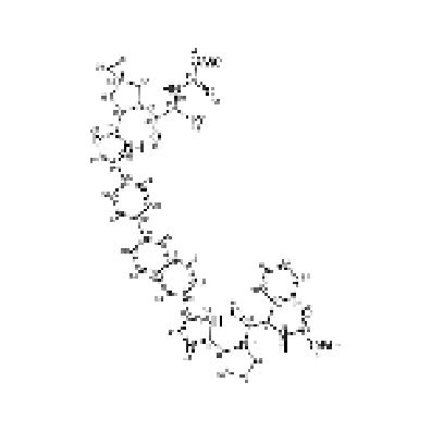 COC(=O)NC(C(=O)N1CCCC1c1ncc(-c2ccc3cc(-c4ccc(-c5cnc(C6CC7(CC7)CN6C(=O)C(NC(=O)OC)C(C)C)[nH]5)cc4)ccc3c2)[nH]1)c1ccccc1